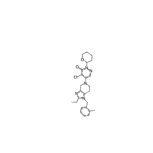 CCc1nc2c(n1Cc1ccccc1C)CCN(c1cnn(C3CCCCO3)c(=O)c1Cl)C2